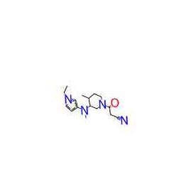 CCn1ccc(N(C)C2CN(C(=O)CC#N)CCC2C)c1